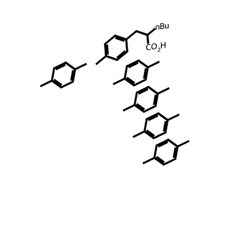 CCCCC(Cc1ccc(C)cc1)C(=O)O.Cc1ccc(C)cc1.Cc1ccc(C)cc1.Cc1ccc(C)cc1.Cc1ccc(C)cc1.Cc1ccc(C)cc1